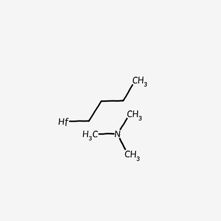 CCC[CH2][Hf].CN(C)C